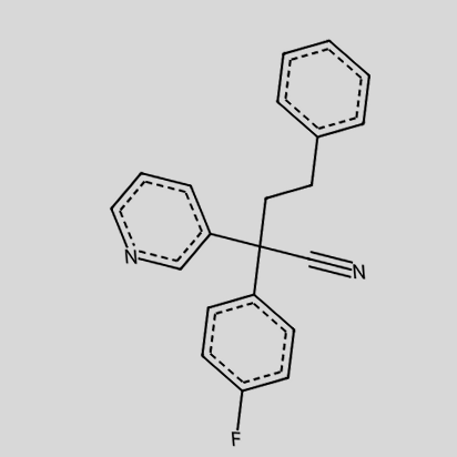 N#CC(CCc1ccccc1)(c1ccc(F)cc1)c1cccnc1